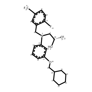 O[C@H](CN(Cc1cc(C(F)(F)F)ccc1F)c1cccc(OCC2CCCCC2)c1)C(F)(F)F